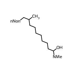 CCCCCCCCCCC(C)CCCCCCCC(O)NC